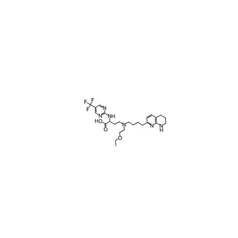 CCOCCN(CCCCc1ccc2c(n1)NCCC2)CCC(Nc1ncc(C(F)(F)F)cn1)C(=O)O